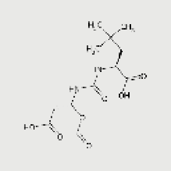 CC(C)(C)C[C@H](NC(=O)N[C@@H](CC(=O)O)OC=O)C(=O)O